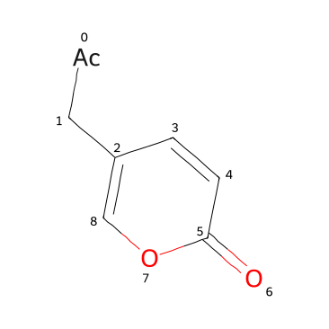 CC(=O)Cc1ccc(=O)oc1